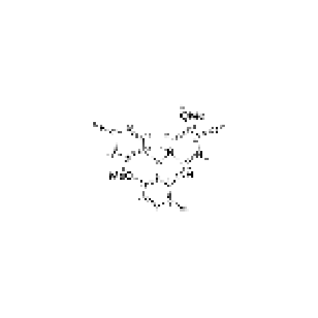 CCc1ccc(OC)cc1Nc1nc(=O)c(OC)cn1Cc1ccc(F)cc1